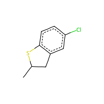 CC1Cc2cc(Cl)ccc2S1